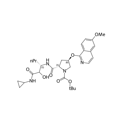 CCC[C@H](NC(=O)[C@@H]1C[C@@H](Oc2nccc3cc(OC)ccc23)CN1C(=O)OC(C)(C)C)C(O)C(=O)NC1CC1